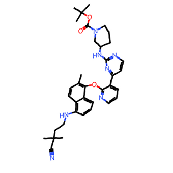 Cc1ccc2c(NCCC(C)(C)C#N)cccc2c1Oc1ncccc1-c1ccnc(NC2CCCN(C(=O)OC(C)(C)C)C2)n1